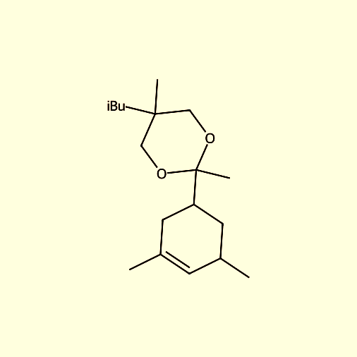 CCC(C)C1(C)COC(C)(C2CC(C)=CC(C)C2)OC1